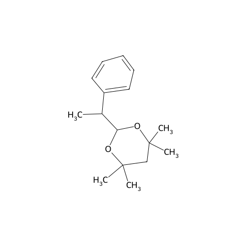 CC(c1ccccc1)C1OC(C)(C)CC(C)(C)O1